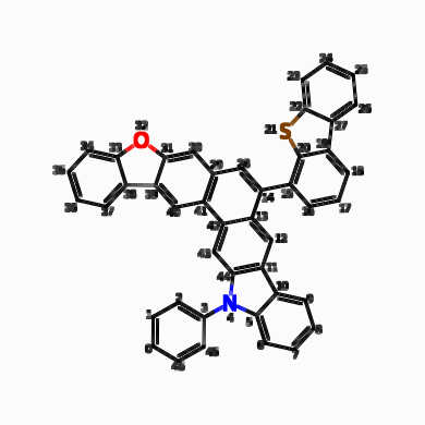 c1ccc(-n2c3ccccc3c3cc4c(-c5cccc6c5sc5ccccc56)cc5cc6oc7ccccc7c6cc5c4cc32)cc1